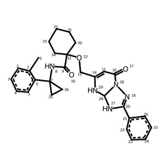 Cc1ccccc1C1(NC(=O)C2(OCC3=CC(=O)N4N=C(c5ccccc5)NC4N3)CCCCC2)CC1